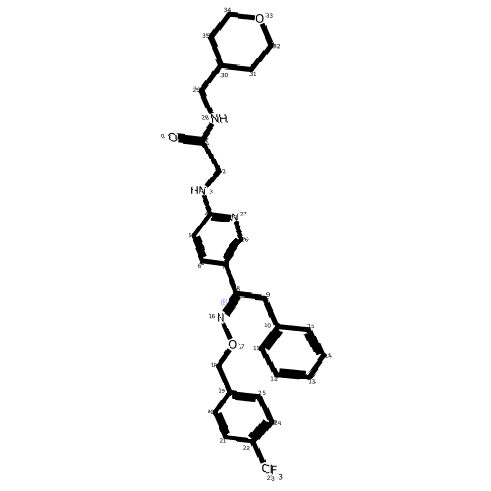 O=C(CNc1ccc(/C(Cc2ccccc2)=N/OCc2ccc(C(F)(F)F)cc2)cn1)NCC1CCOCC1